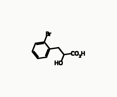 O=C(O)C(O)Cc1ccccc1Br